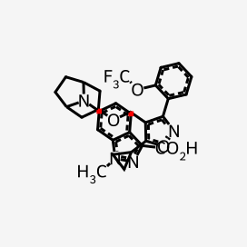 Cn1nc(C(=O)O)c2ccc(N3C4CCC3CC(OCc3c(-c5ccccc5OC(F)(F)F)noc3C3CC3)C4)cc21